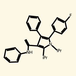 C=C(Nc1ccccc1)c1c(-c2ccccc2)c(-c2ccc(F)cc2)n(C(C)C)c1C(C)C